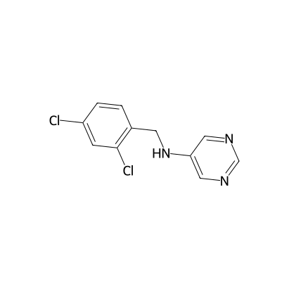 Clc1ccc(CNc2cncnc2)c(Cl)c1